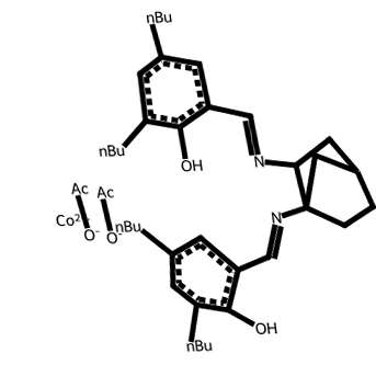 CC(=O)[O-].CC(=O)[O-].CCCCc1cc(C=NC2CC3CCC2(N=Cc2cc(CCCC)cc(CCCC)c2O)C3)c(O)c(CCCC)c1.[Co+2]